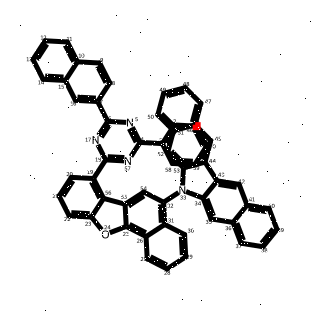 c1ccc(-c2nc(-c3ccc4ccccc4c3)nc(-c3cccc4oc5c6ccccc6c(-n6c7cc8ccccc8cc7c7cc8ccccc8cc76)cc5c34)n2)cc1